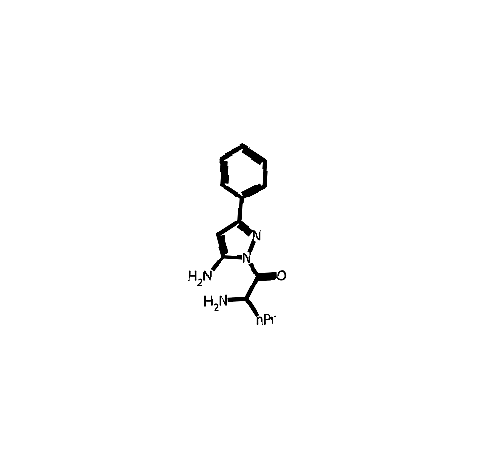 CCCC(N)C(=O)n1nc(-c2ccccc2)cc1N